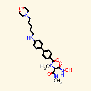 CNC(=O)C(C(=O)NO)N(C)C(=O)c1ccc(-c2ccc(NCCCCCN3CCOCC3)cc2)cc1